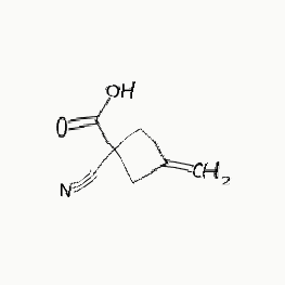 C=C1CC(C#N)(C(=O)O)C1